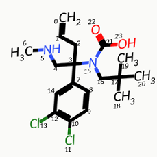 C=CCC(CNC)(c1ccc(Cl)c(Cl)c1)N(CC(C)(C)C)C(=O)O